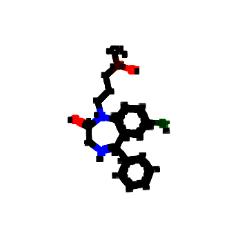 C[S+]([O-])CCCN1C(=O)CN=C(c2ccccc2)c2cc(Br)ccc21